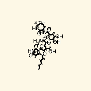 CCCCCCO[C@@H]1[C@H](CO)[C@@H]([C@@H](O[C@H]2OC(C(=O)N[C@H]3CCC[C@@H](C)NC3=O)=C[C@H](O)[C@@H]2O)C(N)=O)O[C@H]1n1ccc(=O)[nH]c1=O